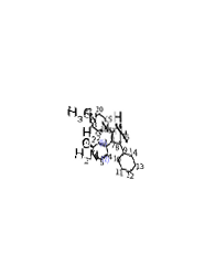 C=C/C=C(\C=C/N)c1c(C2CCCCC2)n[nH]c1N1CCN(C)CC1